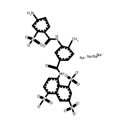 Cc1ccc(C(=O)Nc2ccc(S(=O)(=O)[O-])c3cc(S(=O)(=O)[O-])cc(S(=O)(=O)[O-])c23)cc1NC(=O)c1ccc(N)cc1S(=O)(=O)[O-].[Na+].[Na+].[Na+].[Na+]